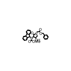 COC(=O)N(C1c2ccccc2-c2ccccc21)C1C(=O)N(CC(=O)OCc2ccccc2)CC1O